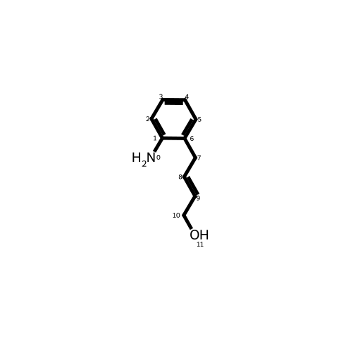 Nc1ccccc1CC=CCO